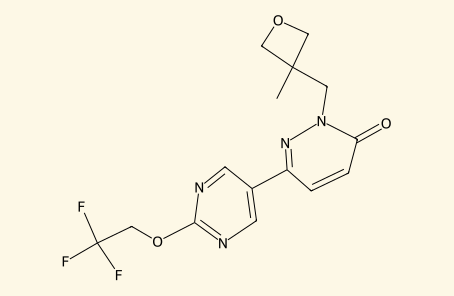 CC1(Cn2nc(-c3cnc(OCC(F)(F)F)nc3)ccc2=O)COC1